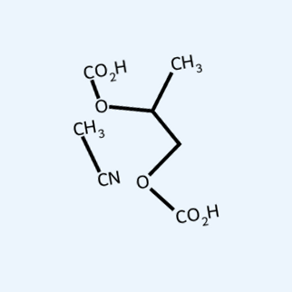 CC#N.CC(COC(=O)O)OC(=O)O